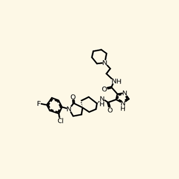 O=C(NCCN1CCCCC1)c1nc[nH]c1C(=O)N[C@H]1CC[C@@]2(CCN(c3ccc(F)cc3Cl)C2=O)CC1